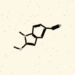 COc1cc2cc(C#N)ccc2n1C